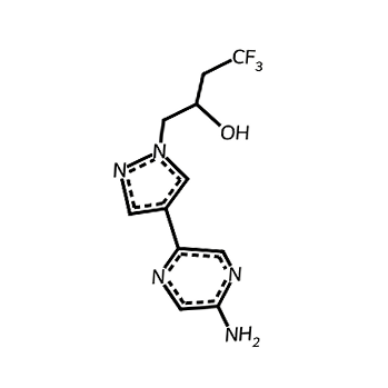 Nc1cnc(-c2cnn(CC(O)CC(F)(F)F)c2)cn1